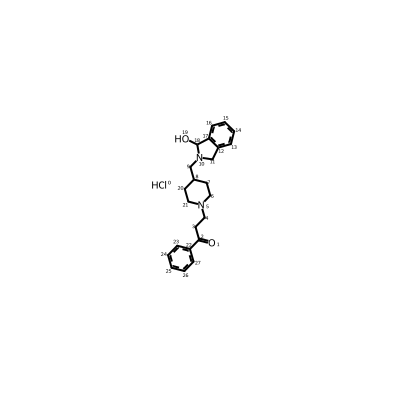 Cl.O=C(CCN1CCC(CN2Cc3ccccc3C2O)CC1)c1ccccc1